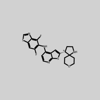 Fc1cc2scnc2c(F)c1Nc1ccnc2sc([C@@H]3CCNC34CCOCC4)cc12